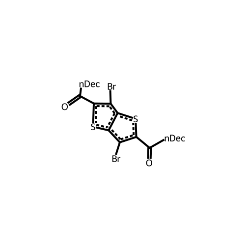 CCCCCCCCCCC(=O)c1sc2c(Br)c(C(=O)CCCCCCCCCC)sc2c1Br